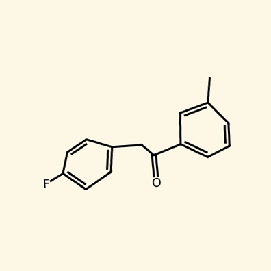 Cc1cccc(C(=O)Cc2ccc(F)cc2)c1